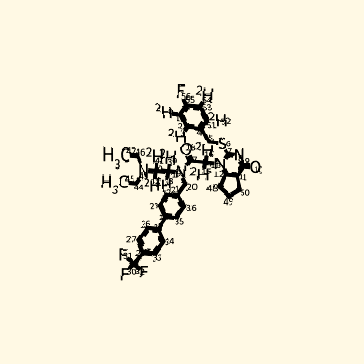 [2H]c1c([2H])c(CSc2nc(=O)c3c(n2C([2H])([2H])C(=O)N(Cc2ccc(-c4ccc(C(F)(F)F)cc4)cc2)C([2H])([2H])C([2H])([2H])N(CC)CC)CCC3)c([2H])c([2H])c1F